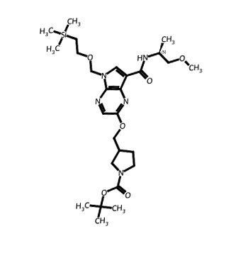 COC[C@H](C)NC(=O)c1cn(COCC[Si](C)(C)C)c2ncc(OCC3CCN(C(=O)OC(C)(C)C)C3)nc12